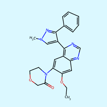 CCOc1cc2ncnc(-c3cn(C)nc3-c3ccccc3)c2cc1N1CCOCC1=O